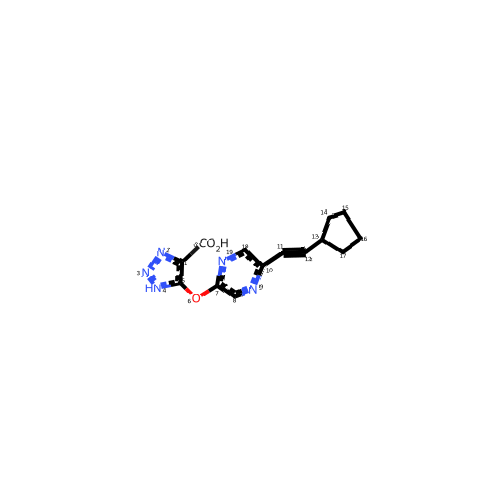 O=C(O)c1nn[nH]c1Oc1cnc(C#CC2CCCC2)cn1